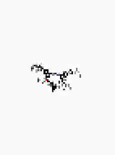 CCC(C)C1=C\C(=C/C=C/C=C/c2cc(C(C)CC)[o+]c3cc(N(CC)CC)ccc23)c2ccc(N(CC)CC)cc2O1.F[B-](F)(F)F